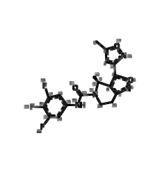 Cc1cc(-c2onc3c2[C@H](C)N(C(=O)Nc2cc(F)c(F)c(F)c2)CC3)no1